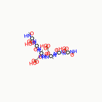 COc1cc(N=Nc2ccc(NC(C)=O)cc2S(=O)(=O)O)ccc1N=Nc1cc(OCCCS(=O)(=O)O)c(NC(=O)Nc2cc(C)c(N=Nc3ccc(N=Nc4ccc(NC(C)=O)cc4S(=O)(=O)O)cc3OC)cc2OCCCS(=O)(=O)O)cc1C